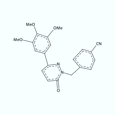 COc1cc(-c2ccc(=O)n(Cc3ccc(C#N)cc3)n2)cc(OC)c1OC